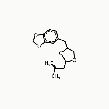 C=C(C)CC1OCC(Cc2ccc3c(c2)OCO3)O1